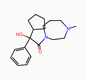 CN1CCCN(C(=O)C(O)(c2ccccc2)C2CCCC2)CC1